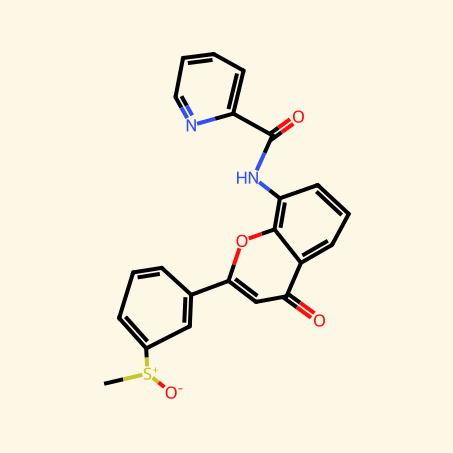 C[S+]([O-])c1cccc(-c2cc(=O)c3cccc(NC(=O)c4ccccn4)c3o2)c1